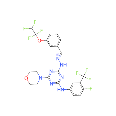 Fc1ccc(Nc2nc(N/N=C/c3cccc(OC(F)(F)C(F)F)c3)nc(N3CCOCC3)n2)cc1C(F)(F)F